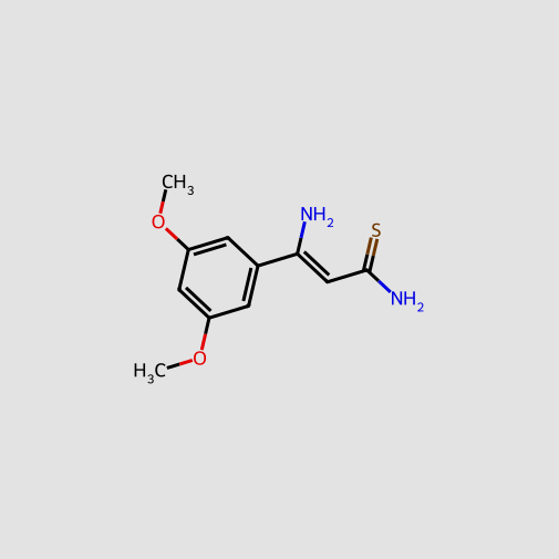 COc1cc(OC)cc(C(N)=CC(N)=S)c1